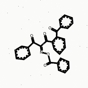 O=C(ON=C(C(=O)c1ccccc1)C(=O)c1ccccc1C(=O)c1ccccc1)c1ccccc1